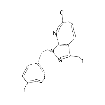 Cc1ccc(Cn2nc(I)c3ccc(Cl)nc32)cc1